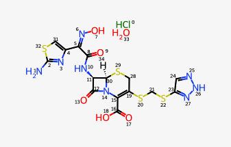 Cl.Nc1nc(/C(=N/O)C(=O)N[C@@H]2C(=O)N3C(C(=O)O)=C(SCSc4cn[nH]n4)CS[C@H]23)cs1.O